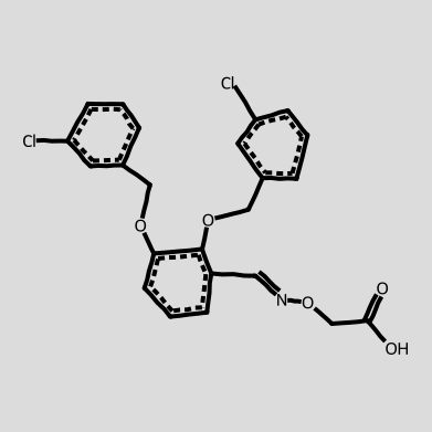 O=C(O)CON=Cc1cccc(OCc2cccc(Cl)c2)c1OCc1cccc(Cl)c1